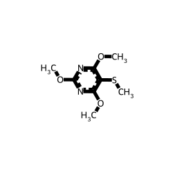 COc1nc(OC)c(SC)c(OC)n1